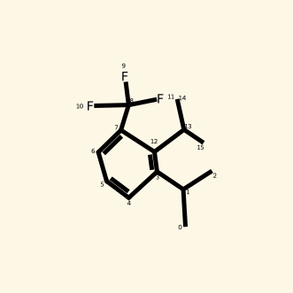 CC(C)c1cccc(C(F)(F)F)c1C(C)C